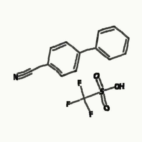 N#Cc1ccc(-c2ccccc2)cc1.O=S(=O)(O)C(F)(F)F